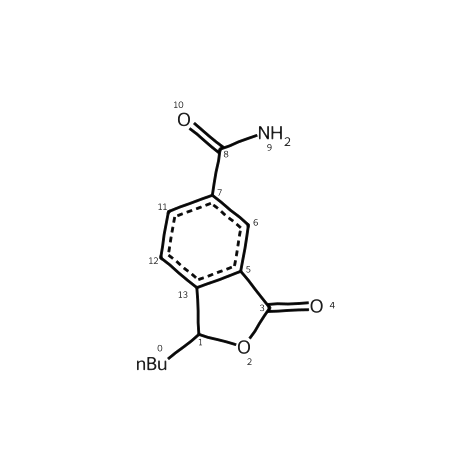 CCCCC1OC(=O)c2cc(C(N)=O)ccc21